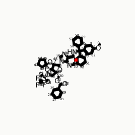 COc1ccc(C(Nc2ncnc3c2ncn3[C@@H]2O[C@@](COC(=O)c3ccccc3)(COS(=O)(=O)C(F)(F)F)[C@H]3OC4(CCCC4)O[C@]32C)(c2ccccc2)c2ccccc2)cc1